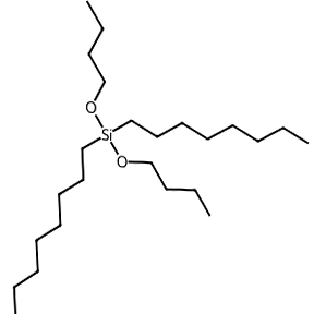 CCCCCCCC[Si](CCCCCCCC)(OCCCC)OCCCC